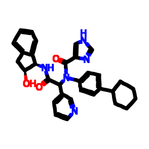 O=C(N[C@@H]1c2ccccc2C[C@@H]1O)C(c1cccnc1)N(C(=O)c1c[nH]cn1)c1ccc(C2CCCCC2)cc1